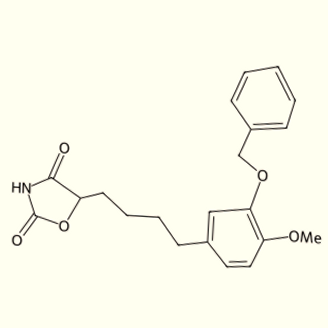 COc1ccc(CCCCC2OC(=O)NC2=O)cc1OCc1ccccc1